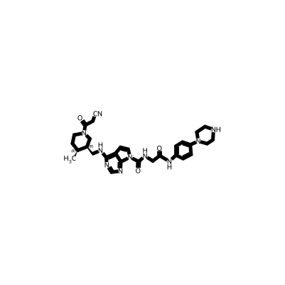 C[C@@H]1CCN(C(=O)CC#N)C[C@H]1CNc1ncnc2c1ccn2C(=O)NCC(=O)Nc1ccc(N2CCNCC2)cc1